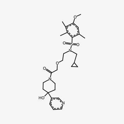 COc1cc(C)c(S(=O)(=O)N(CCOCC(=O)N2CCC(O)(c3cccnc3)CC2)CC2CC2)c(C)c1C